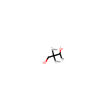 CCCCCCC(CO)(CCCCCC)C(O)C(C)C